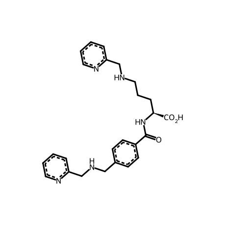 O=C(N[C@@H](CCCNCc1ccccn1)C(=O)O)c1ccc(CNCc2ccccn2)cc1